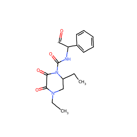 CCC1CN(CC)C(=O)C(=O)N1C(=O)NC([C]=O)c1ccccc1